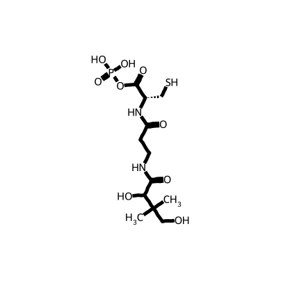 CC(C)(CO)C(O)C(=O)NCCC(=O)N[C@@H](CS)C(=O)OP(=O)(O)O